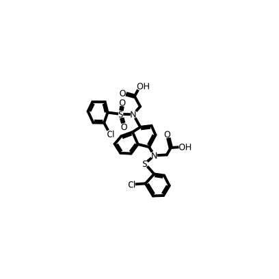 O=C(O)CN(Sc1ccccc1Cl)c1ccc(N(CC(=O)O)S(=O)(=O)c2ccccc2Cl)c2ccccc12